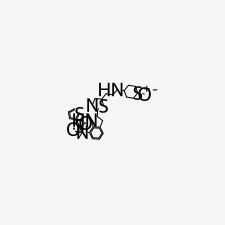 CN(c1cccc2c1NC(C1=NCC(CCNC3CC[S+]([O-])CC3)S1)C2)S(=O)(=O)c1cccs1